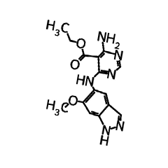 CCOC(=O)c1c(N)ncnc1Nc1cc2cn[nH]c2cc1OC